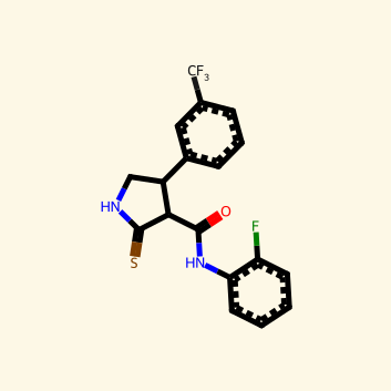 O=C(Nc1ccccc1F)C1C(=S)NCC1c1cccc(C(F)(F)F)c1